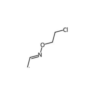 [CH2]C=NOCCCl